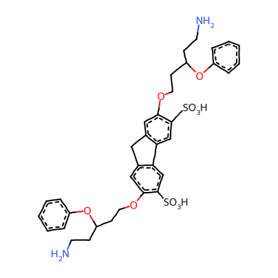 NCCC(CCOc1cc2c(cc1S(=O)(=O)O)-c1cc(S(=O)(=O)O)c(OCCC(CCN)Oc3ccccc3)cc1C2)Oc1ccccc1